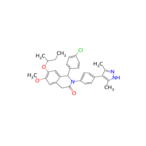 CCC(C)Oc1cc2c(cc1OC)CC(=O)N(c1ccc(-c3c(C)n[nH]c3C)cc1)C2c1ccc(Cl)cc1